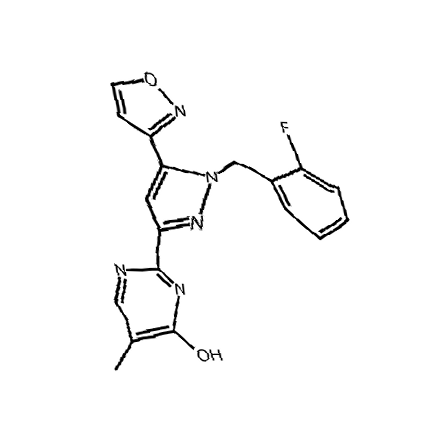 Cc1cnc(-c2cc(-c3ccon3)n(Cc3ccccc3F)n2)nc1O